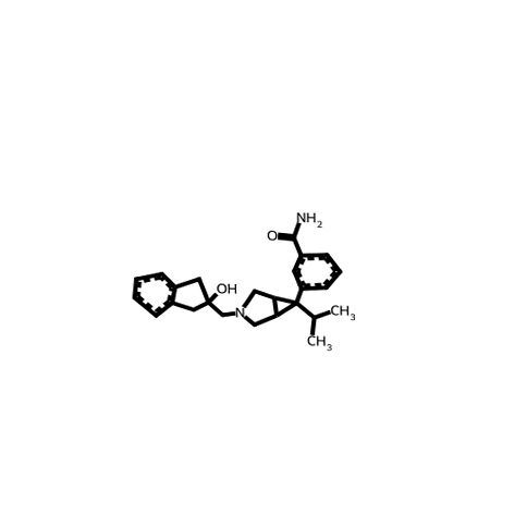 CC(C)C1(c2cccc(C(N)=O)c2)C2CN(CC3(O)Cc4ccccc4C3)CC21